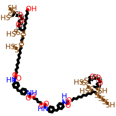 C[Si](C)(O[Si](C)(C)O[Si](C)(C)C(CSSS)SSS)O[Si](C)(C)C(CSC(CCCCCCCCCOC(=O)Nc1ccc(Cc2ccc(NC(=O)OCCCCOC(=O)Nc3ccc(Cc4ccc(NC(=O)OCCCCCCCCCC(CSSCCSSC(CCCCCCCCO)C(SSS)[Si](C)(C)O[Si](C)(C)O[Si](C)(C)O[Si](C)(C)C(CSS)SSS)SSS)cc4)cc3)cc2)cc1)CSSSSSSS)SS